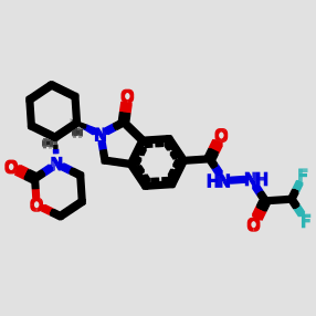 O=C(NNC(=O)C(F)F)c1ccc2c(c1)C(=O)N([C@@H]1CCCC[C@H]1N1CCCOC1=O)C2